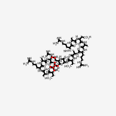 CC(=O)NC(CCCNC(=N)N)C(=O)NC(C)C(=O)NC(CC(=O)O)C(=O)NC(C)C(=O)NC(CCCNC(=N)N)C(=O)NC(C)C(=O)NC(CC(=O)O)C(=O)NC(C)C(=O)NC(CCCNC(=N)N)C(=O)NC(C)C(=O)NC(CC(=O)O)C(=O)NC(C)C(=O)NC(CCCNC(=N)N)C(=O)NC(C)C(=O)NC(CC(=O)O)C(=O)NC(C)C(N)=O